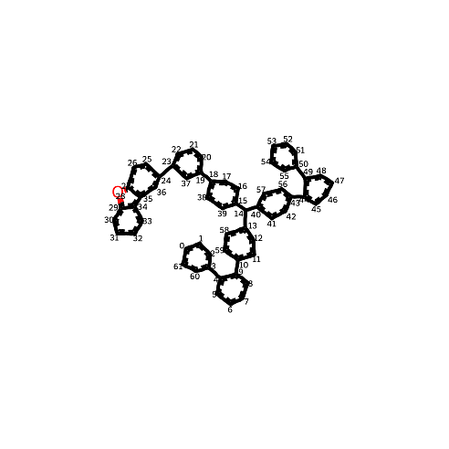 c1ccc(-c2ccccc2-c2ccc(C(c3ccc(-c4cccc(-c5ccc6oc7ccccc7c6c5)c4)cc3)c3ccc(-c4ccccc4-c4ccccc4)cc3)cc2)cc1